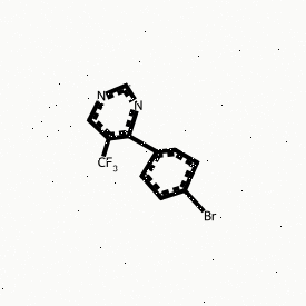 FC(F)(F)c1cn[c]nc1-c1ccc(Br)cc1